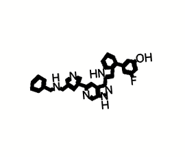 Oc1cc(F)cc(-c2cccc3[nH]c(-c4n[nH]c5cnc(-c6cncc(CNCc7ccccc7)c6)cc45)cc23)c1